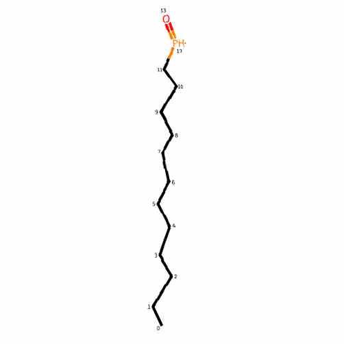 CCCCCCCCCCCC[PH]=O